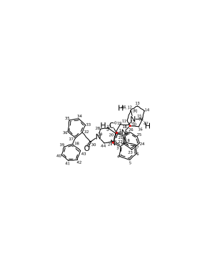 Cc1nc2ccccc2n1C1C[C@H]2CC[C@@H](C1)N2CCC1(c2ccccc2)CCN(C(=O)c2ccccc2-c2ccccc2)CC1